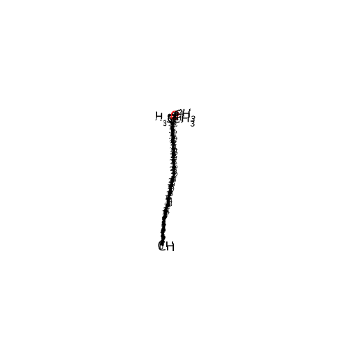 C#CC#CC#CC#CC#CC#CC#CC#CC#CC#CC#CC#CC#CC#CC#CC#CC#CC#CC#CC#C[Si](C)(C)OC